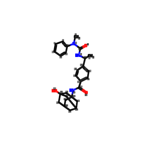 CC(NC(=O)N(C)c1ccccc1)c1ccc(C(=O)NC23CC4CC(CC(O)(C4)C2)C3)cc1